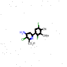 COc1c(F)c(-c2cc(N)c(Cl)c(C(=O)O)n2)cc(F)c1C#N